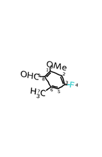 COc1cc(F)cc(C)c1C=O